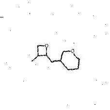 CC1COC1CC1CCCOC1